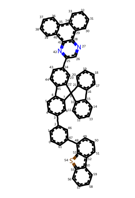 c1cc(-c2ccc3c(c2)C2(c4ccccc4-c4ccccc42)c2cc(-c4cnc5c6ccccc6c6ccccc6c5n4)ccc2-3)cc(-c2cccc3c2sc2ccccc23)c1